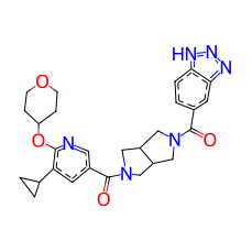 O=C(c1cnc(OC2CCOCC2)c(C2CC2)c1)N1CC2CN(C(=O)c3ccc4[nH]nnc4c3)CC2C1